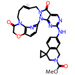 COC(=O)N1Cc2cc(Nc3ncc4c(=O)n5n(c4n3)-c3ccc4c(n3)N(CC/C=C/C5)C(=O)CO4)ccc2C2(CC2)C1